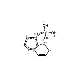 C1=Cc2ccccc2OC1.O=[As](O)(O)O